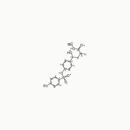 CCc1ccc(S(=O)(=O)Oc2ccc(C(O)CN(C)C(=O)OC(C)(C)C)cc2)cc1